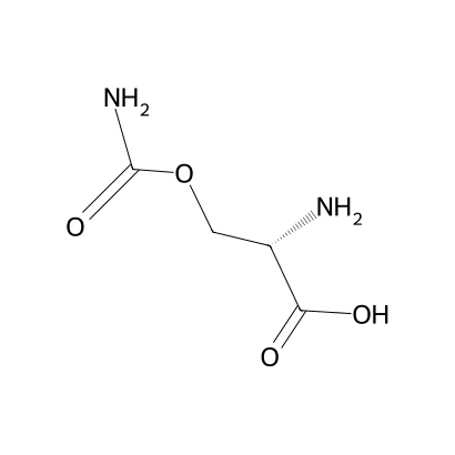 NC(=O)OC[C@H](N)C(=O)O